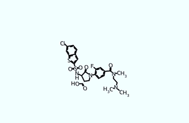 CN(C)CCN(C)C(=O)c1ccc(N2CCC(NS(=O)(=O)c3cc4ccc(Cl)cc4s3)C2=O)c(F)c1.O=CO